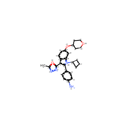 Cc1nnc(-c2c(-c3ccc(N)cc3)n(C3CCC3)c3cc(OC4CCOCC4)ccc23)o1